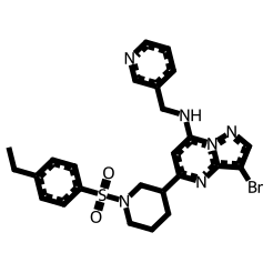 CCc1ccc(S(=O)(=O)N2CCCC(c3cc(NCc4cccnc4)n4ncc(Br)c4n3)C2)cc1